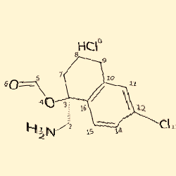 Cl.NC[C@]1(OC=O)CCCc2cc(Cl)ccc21